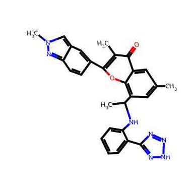 Cc1cc(C(C)Nc2ccccc2-c2nn[nH]n2)c2oc(-c3ccc4nn(C)cc4c3)c(C)c(=O)c2c1